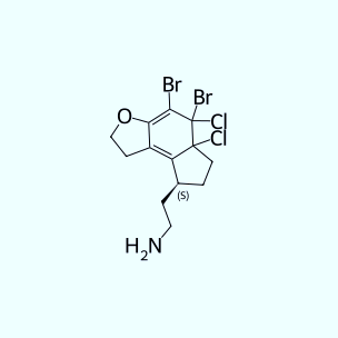 NCC[C@@H]1CCC2(Cl)C1=C1CCOC1=C(Br)C2(Cl)Br